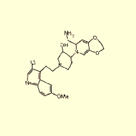 COc1ccc2ncc(Cl)c(CCN3CCC(N4C=C5OCCOC5=CC4CN)C(O)C3)c2c1